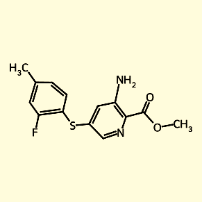 COC(=O)c1ncc(Sc2ccc(C)cc2F)cc1N